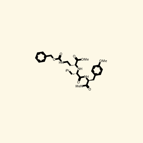 CNC(=O)[C@H](Cc1ccc(OC)cc1)NC(=O)[C@H](CC(C)C)N[C@H](CCNC(=O)OCc1ccccc1)C(=O)OC